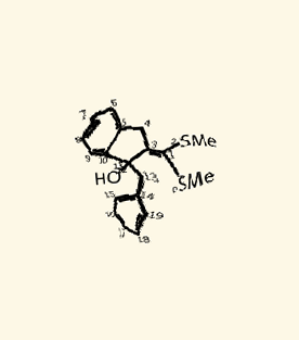 CSC(SC)=C1Cc2ccccc2C1(O)Cc1ccccc1